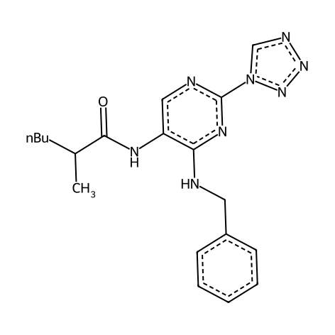 CCCCC(C)C(=O)Nc1cnc(-n2cnnn2)nc1NCc1ccccc1